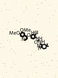 COc1cc2nccc(Oc3ccc(NC(=O)Nc4nn(C)c5c4CC(C)(C)CC5)c(F)c3)c2cc1OC.Cl